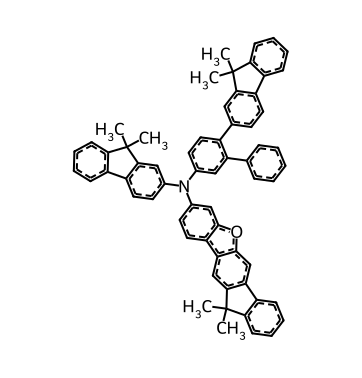 CC1(C)c2ccccc2-c2ccc(-c3ccc(N(c4ccc5c(c4)C(C)(C)c4ccccc4-5)c4ccc5c(c4)oc4cc6c(cc45)C(C)(C)c4ccccc4-6)cc3-c3ccccc3)cc21